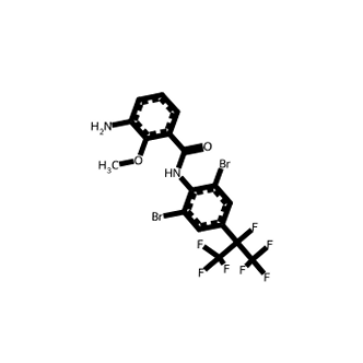 COc1c(N)cccc1C(=O)Nc1c(Br)cc(C(F)(C(F)(F)F)C(F)(F)F)cc1Br